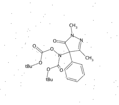 CC1=NN(C)C(=O)C1(c1ccccc1)N(OC(=O)OC(C)(C)C)C(=O)OC(C)(C)C